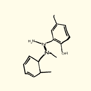 Cc1ccc(O)c(N(N)N(C)C2C=CC=CC2C)c1